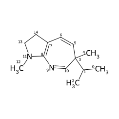 CC(C)C1(C)C=CC2=C(N=C1)N(C)CC2